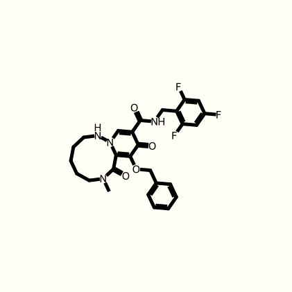 CN1CCCCCNn2cc(C(=O)NCc3c(F)cc(F)cc3F)c(=O)c(OCc3ccccc3)c2C1=O